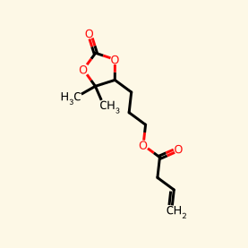 C=CCC(=O)OCCCC1OC(=O)OC1(C)C